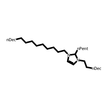 CCCCCCCCCCCCCCCCCCCN1C=CN(CCCCCCCCCCCC)C1CCCCC